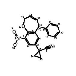 N#CC1(c2cc3c(c([N+](=O)[O-])c2)OCC=C[C@H]3c2ccccc2)CC1